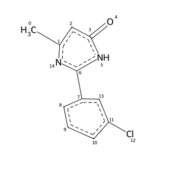 Cc1cc(=O)[nH]c(-c2cccc(Cl)c2)n1